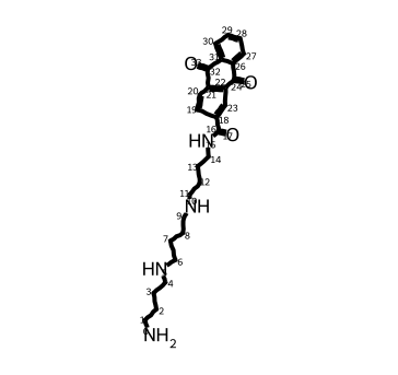 NCCCCNCCCCNCCCCNC(=O)c1ccc2c(c1)C(=O)c1ccccc1C2=O